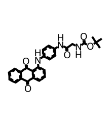 CC(C)(C)OC(=O)NCC(=O)Nc1ccc(Nc2cccc3c2C(=O)c2ccccc2C3=O)cc1